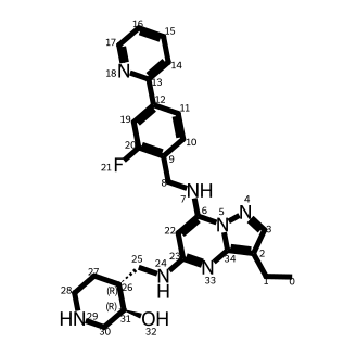 CCc1cnn2c(NCc3ccc(-c4ccccn4)cc3F)cc(NC[C@H]3CCNC[C@@H]3O)nc12